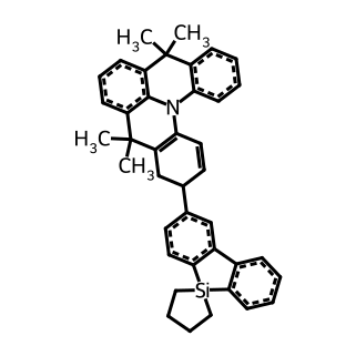 CC1(C)C2=C(C=CC(c3ccc4c(c3)-c3ccccc3[Si]43CCCC3)C2)N2c3ccccc3C(C)(C)c3cccc1c32